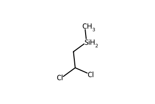 C[SiH2]CC(Cl)Cl